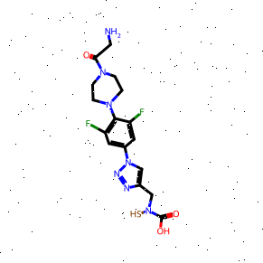 NCC(=O)N1CCN(c2c(F)cc(-n3cc(CN(S)C(=O)O)nn3)cc2F)CC1